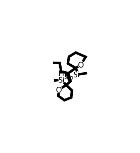 CCCC(=CC1([SiH2]C)CCCCO1)C1([SiH2]C)CCCCO1